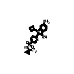 Cc1ccc2c(C#N)c(-c3ccc(S(=O)(=O)NC4(C(F)(F)F)CC4)cn3)n(C3CCC3)c2c1